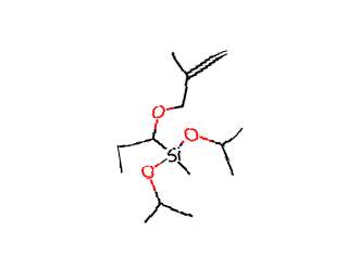 C=C(C)COC(CC)[Si](C)(OC(C)C)OC(C)C